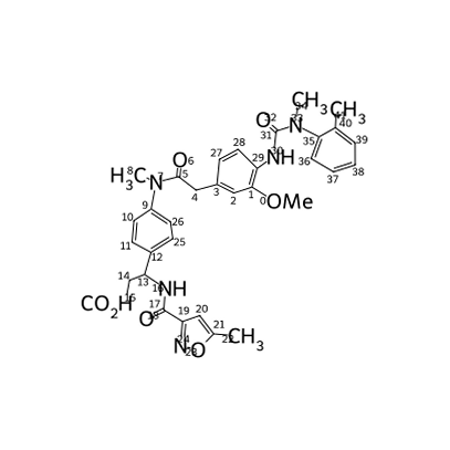 COc1cc(CC(=O)N(C)c2ccc(C(CC(=O)O)NC(=O)c3cc(C)on3)cc2)ccc1NC(=O)N(C)c1ccccc1C